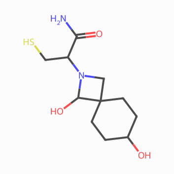 NC(=O)C(CS)N1CC2(CCC(O)CC2)C1O